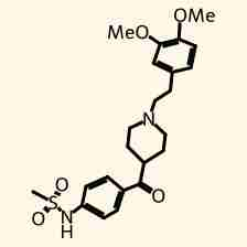 COc1ccc(CCN2CCC(C(=O)c3ccc(NS(C)(=O)=O)cc3)CC2)cc1OC